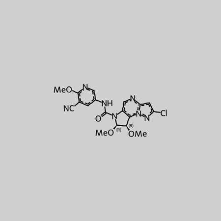 COc1ncc(NC(=O)N2c3cnc4cc(Cl)nn4c3[C@@H](OC)[C@H]2OC)cc1C#N